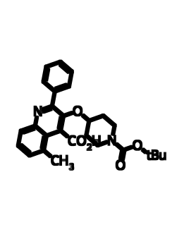 Cc1cccc2nc(-c3ccccc3)c(OC3CCN(C(=O)OC(C)(C)C)CC3)c(C(=O)O)c12